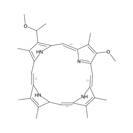 COC1=C(C)/C2=C/c3[nH]c(c(C)c3C(C)OC)/C=C3\NC(/C=c4\[nH]/c(c(C)c4C)=C\C1=N2)C(C)=C3C